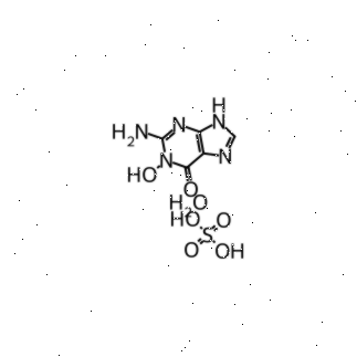 Nc1nc2[nH]cnc2c(=O)n1O.O.O=S(=O)(O)O